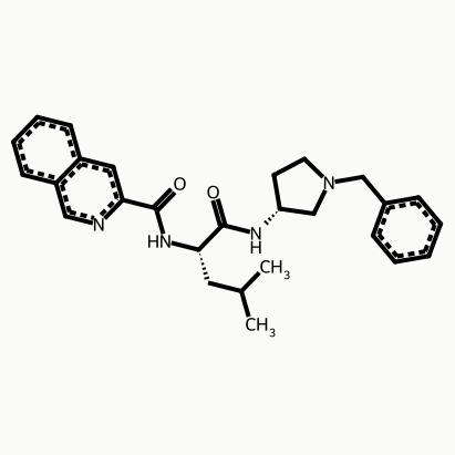 CC(C)C[C@H](NC(=O)c1cc2ccccc2cn1)C(=O)N[C@@H]1CCN(Cc2ccccc2)C1